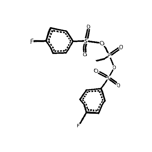 CP(=O)(OS(=O)(=O)c1ccc(F)cc1)OS(=O)(=O)c1ccc(F)cc1